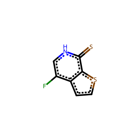 Fc1c[nH]c(=S)c2sccc12